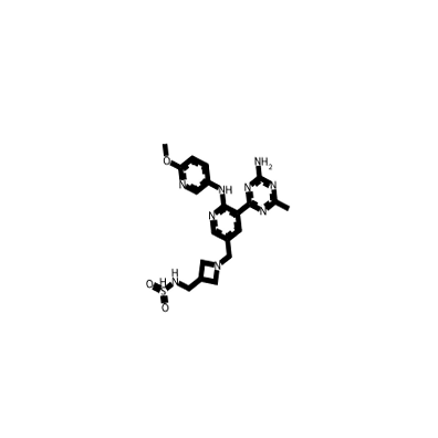 COc1ccc(Nc2ncc(CN3CC(CN[SH](=O)=O)C3)cc2-c2nc(C)nc(N)n2)cn1